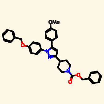 COc1ccc(-c2cc(C3CCN(C(=O)OCc4ccccc4)CC3)nn2-c2ccc(OCc3ccccc3)cc2)cc1